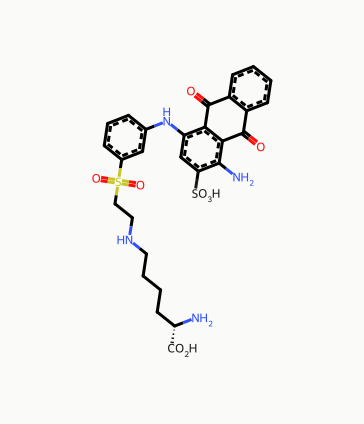 Nc1c(S(=O)(=O)O)cc(Nc2cccc(S(=O)(=O)CCNCCCC[C@H](N)C(=O)O)c2)c2c1C(=O)c1ccccc1C2=O